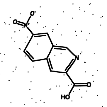 O=C(O)c1cc2ccc([N+](=O)[O-])cc2cn1